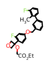 CCOC(=O)COC1(c2ccc(OCc3cccc(-c4cccc(F)c4C)c3)cc2F)COC1